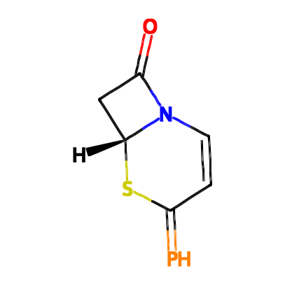 O=C1C[C@H]2SC(=P)C=CN12